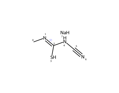 C/N=C(\S)NC#N.[NaH]